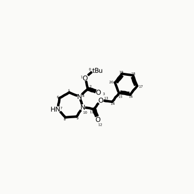 CC(C)(C)OC(=O)N1CCNCCN1C(=O)OCc1ccccc1